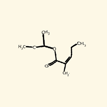 [CH2]C(=CCC)C(=O)OC(C)CC